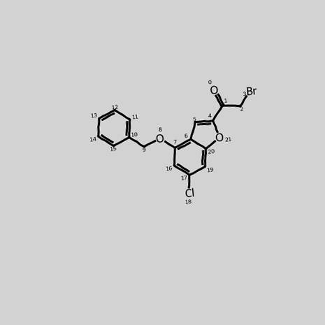 O=C(CBr)c1cc2c(OCc3ccccc3)cc(Cl)cc2o1